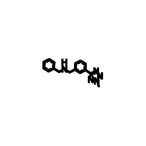 Cn1nnc(-c2cccc(CNCc3ccccc3)c2)n1